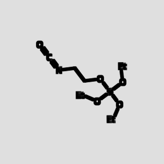 CCO[Si](OCC)(OCC)OCCN=C=O